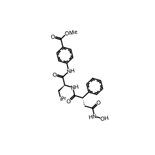 COC(=O)c1ccc(NC(=O)[C@H](CC(C)C)NC(=O)[C@@H](CC(=O)NO)c2ccccc2)cc1